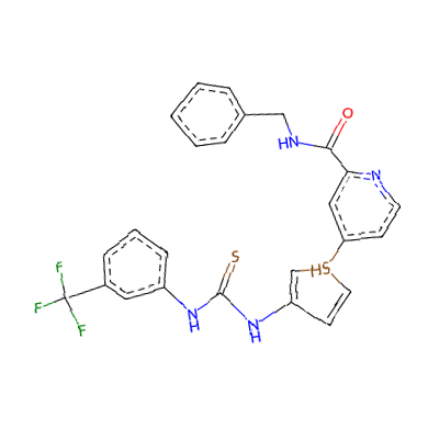 O=C(NCc1ccccc1)c1cc([SH]2C=CC(NC(=S)Nc3cccc(C(F)(F)F)c3)=C2)ccn1